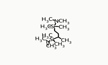 CC(CC[Si](C)(C)N(C)C)[Si](C)(C)N(C)C